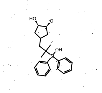 CC(C)(CC1C[C@@H](O)[C@@H](O)C1)[Si](O)(c1ccccc1)c1ccccc1